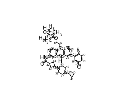 CC(C)(C)[Si](C)(C)OCCSc1nnc(-c2cc(Cl)ccc2F)cc1Nc1cc(NC(=O)C2CC(N3CCN(C4CC4)CC3)C2)ncn1